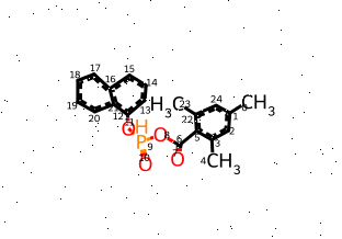 Cc1cc(C)c(C(=O)O[PH](=O)Oc2cccc3ccccc23)c(C)c1